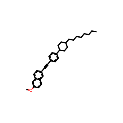 CCCCCCCCC1CCC(c2ccc(C#Cc3ccc4cc(OC)ccc4c3)cc2)CC1